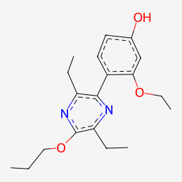 CCCOc1nc(CC)c(-c2ccc(O)cc2OCC)nc1CC